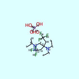 CCN(CC)C(CNC(C)C)(CC(F)(F)F)CC(F)(F)F.O=P(O)(O)O